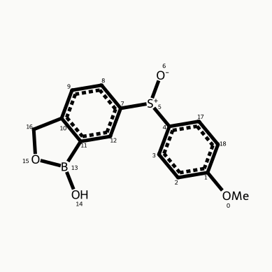 COc1ccc([S+]([O-])c2ccc3c(c2)B(O)OC3)cc1